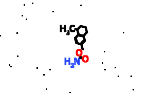 CC1CCCc2cc(COC(N)=O)ccc21